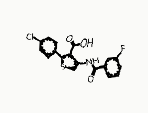 O=C(Nc1csc(-c2ccc(Cl)cc2)c1C(=O)O)c1cccc(F)c1